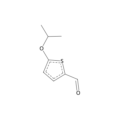 CC(C)Oc1ccc(C=O)s1